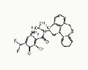 C[C@@H](N(CC[C@@H]1c2ccccc2SCc2cccc(Cl)c21)C(=O)c1c(O)c(=O)c(C(F)F)cn1N)C(F)(F)F